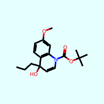 CCCC1(O)C=CN(C(=O)OC(C)(C)C)c2cc(OC)ccc21